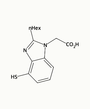 CCCCCCc1nc2c(S)cccc2n1CC(=O)O